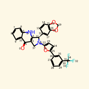 O=c1c2c([nH]c3ccccc13)[C@@H](c1ccc3c(c1)OCO3)N(c1ccc(-c3cccc(C(F)(F)F)c3)o1)C2